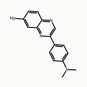 CN(C)c1ccc(-c2cnc3ccc(O)cc3n2)cc1